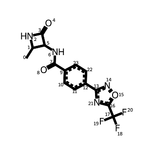 CC1NC(=O)C1NC(=O)c1ccc(-c2noc(C(F)(F)F)n2)cc1